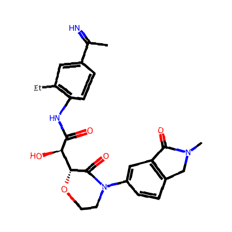 CCc1cc(C(C)=N)ccc1NC(=O)[C@H](O)[C@H]1OCCN(c2ccc3c(c2)C(=O)N(C)C3)C1=O